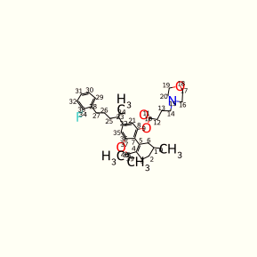 CC1CCC2=C(C1)c1c(OC(=O)CCCN3CCOCC3)cc(C(C)CCCc3ccccc3F)cc1OC2(C)C